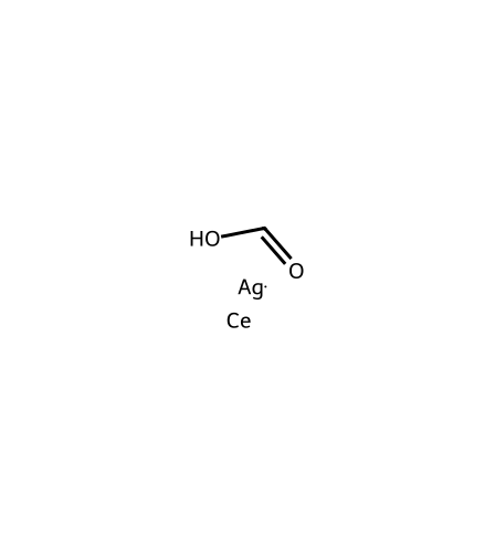 O=CO.[Ag].[Ce]